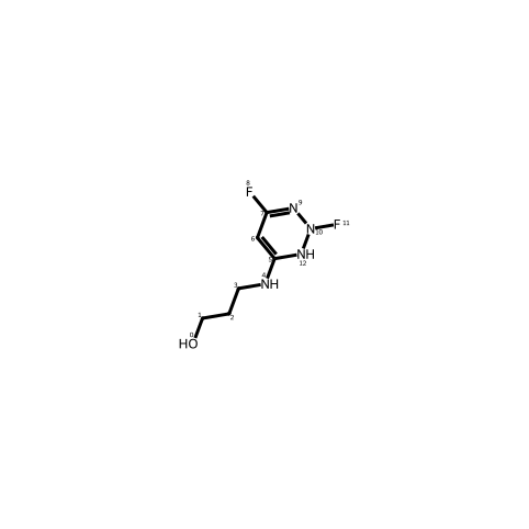 OCCCNC1=CC(F)=NN(F)N1